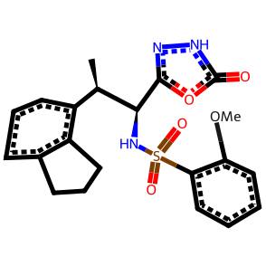 COc1ccccc1S(=O)(=O)N[C@H](c1n[nH]c(=O)o1)[C@H](C)c1cccc2c1CCC2